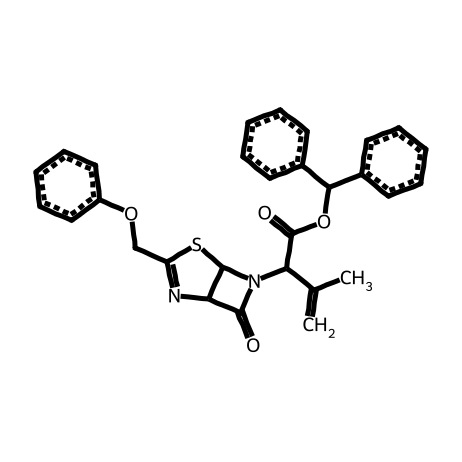 C=C(C)C(C(=O)OC(c1ccccc1)c1ccccc1)N1C(=O)C2N=C(COc3ccccc3)SC21